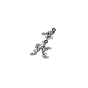 CC(C)(C)OC(=O)CN(CCN(CCN(CC(=O)OC(C)(C)C)CC(=O)OC(C)(C)C)CC(=O)NCc1ccc(CONC(=O)[C@@H](Cc2cc3ccccc3[nH]2)NC(=O)OC(C)(C)C)cc1)CC(=O)OC(C)(C)C